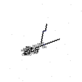 CCCCC/C=C\C=C/CCCCCCCCC(=O)NC(COC1OC(CO)C(OC2OC(CO)C(O)C(OC3(C(=O)O)CC(O)C(NC(C)=O)C(C(O)C(O)CO)O3)C2O)C(O)C1O)C(O)/C=C/CCCCCCCCCCCCC